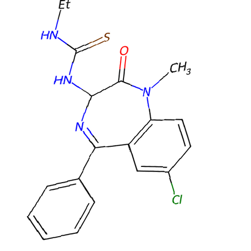 CCNC(=S)NC1N=C(c2ccccc2)c2cc(Cl)ccc2N(C)C1=O